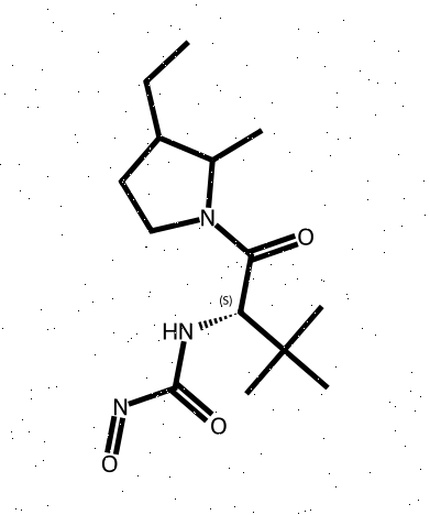 CCC1CCN(C(=O)[C@@H](NC(=O)N=O)C(C)(C)C)C1C